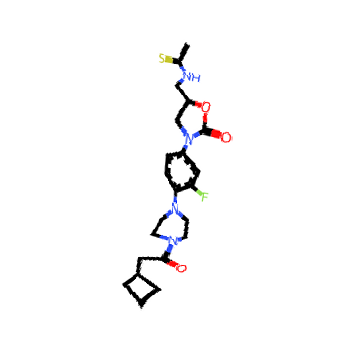 CC(=S)NCC1CN(c2ccc(N3CCN(C(=O)CC4CCC4)CC3)c(F)c2)C(=O)O1